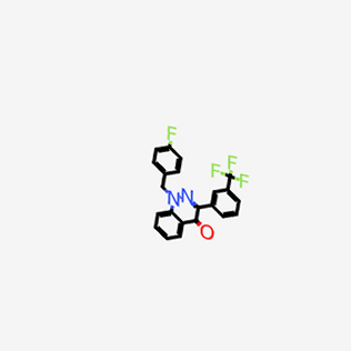 O=c1c(-c2cccc(C(F)(F)F)c2)nn(Cc2ccc(F)cc2)c2ccccc12